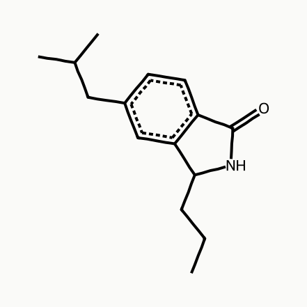 CCCC1NC(=O)c2ccc(CC(C)C)cc21